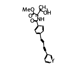 COC(=O)[C@@H](NC(=O)c1ccc(C#CC#CC2=CC=[CH][Y]=[CH]2)cc1)[C@@H](C)O